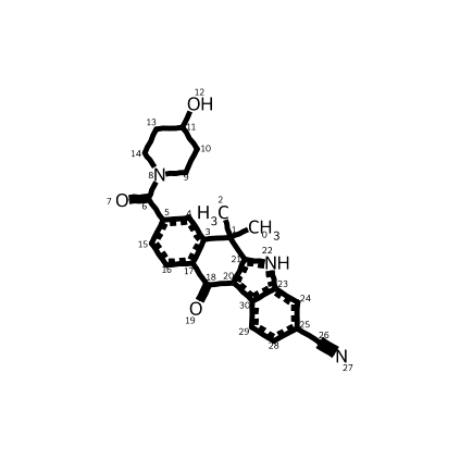 CC1(C)c2cc(C(=O)N3CCC(O)CC3)ccc2C(=O)c2c1[nH]c1cc(C#N)ccc21